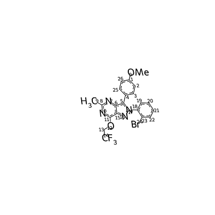 COc1ccc(-c2c3nc(C)nc(OCC(F)(F)F)c3nn2-c2ccccc2Br)cc1